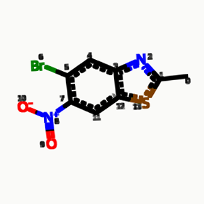 Cc1nc2cc(Br)c([N+](=O)[O-])cc2s1